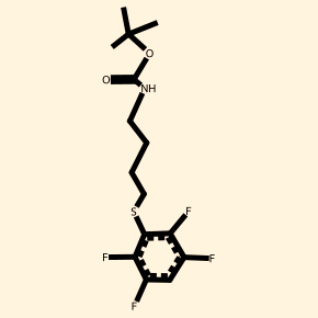 CC(C)(C)OC(=O)NCCCCSc1c(F)c(F)cc(F)c1F